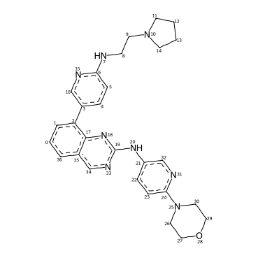 c1cc(-c2ccc(NCCN3CCCC3)nc2)c2nc(Nc3ccc(N4CCOCC4)nc3)ncc2c1